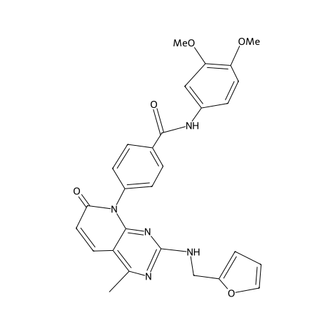 COc1ccc(NC(=O)c2ccc(-n3c(=O)ccc4c(C)nc(NCc5ccco5)nc43)cc2)cc1OC